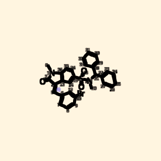 CN1C(=O)/C(=C/c2cccc(Br)c2)c2cc(S(=O)(=O)N(C)C(c3ccccc3)c3ccccc3)ccc21